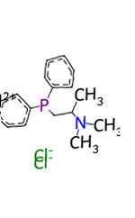 CC(CP(c1ccccc1)c1ccccc1)N(C)C.[Cl-].[Cl-].[Pd+2]